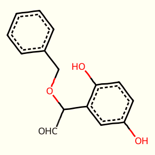 O=CC(OCc1ccccc1)c1cc(O)ccc1O